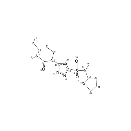 CCCN(C)C(=O)N(CC)c1nnc(S(=O)(=O)N(C)C2CCCS2)s1